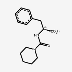 O=C(O)[C@H](Cc1ccccc1)NC(=O)N1CCCCC1